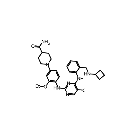 CCOc1cc(N2CCC(C(N)=O)CC2)ccc1Nc1ncc(Cl)c(Nc2ccccc2CNC2CCC2)n1